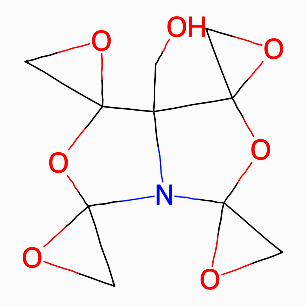 OCC12N(C3(CO3)OC13CO3)C1(CO1)OC21CO1